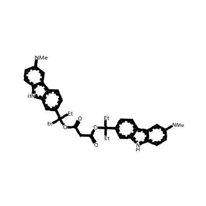 CCC(CC)(OC(=O)CC(=O)OC(CC)(CC)c1ccc2c(c1)[nH]c1ccc(NC)cc12)c1ccc2c(c1)[nH]c1ccc(NC)cc12